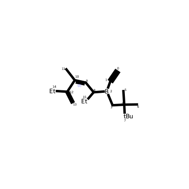 C#CB(CC(C)(C)C(C)(C)C)C(/C=C(/C)C(=C)CC)CC